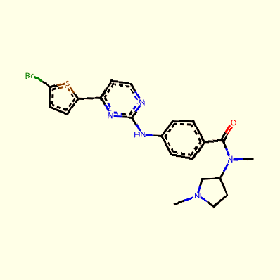 CN1CCC(N(C)C(=O)c2ccc(Nc3nccc(-c4ccc(Br)s4)n3)cc2)C1